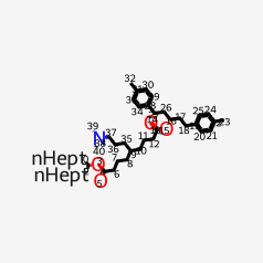 CCCCCCCC(CCCCCCC)OC(=O)CCCC(CCCC(=O)OC(CCc1ccc(C)cc1)CCc1ccc(C)cc1)CCCN(C)C